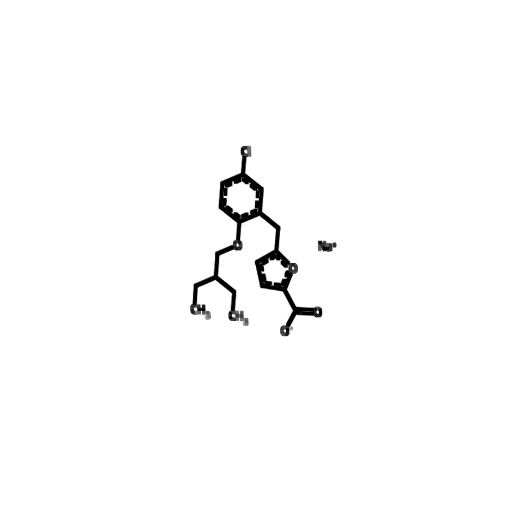 CCC(CC)COc1ccc(Cl)cc1Cc1ccc(C(=O)[O-])o1.[Na+]